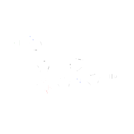 CC(C)(C)c1ccc2c(c1)c1cccc3c4cc(B5OC(C)(C)C(C)(Cc6cccc(-c7ccnc(Cl)c7)c6)O5)ccc4n2c31